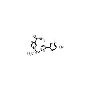 C[C@@H](Cn1ccc(-c2ccc(C#N)c(Cl)c2)n1)n1cnc(C(N)=O)c1